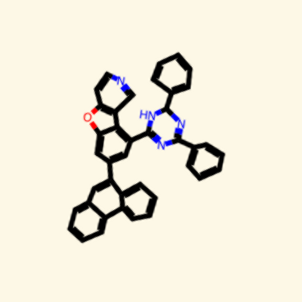 c1ccc(C2=NC(c3ccccc3)NC(c3cc(-c4cc5ccccc5c5ccccc45)cc4oc5ccncc5c34)=N2)cc1